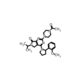 COc1ccccc1C1CCCN1c1nc(N2CCN(C(C)=O)CC2)nc2c1CN(C(C)C)C2=O